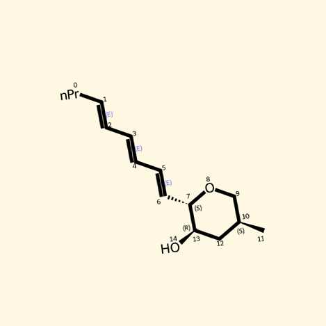 CCC/C=C/C=C/C=C/[C@@H]1OC[C@@H](C)C[C@H]1O